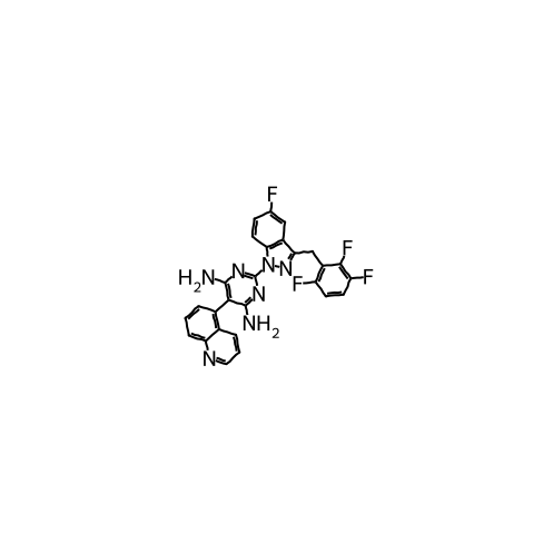 Nc1nc(-n2nc(Cc3c(F)ccc(F)c3F)c3cc(F)ccc32)nc(N)c1-c1cccc2ncccc12